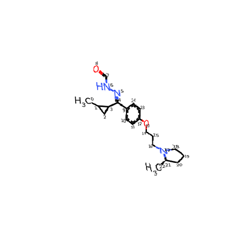 CC1CC1/C(=N\NC=O)c1ccc(OCCCN2CCC[C@H]2C)cc1